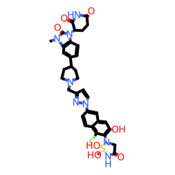 Cn1c(=O)n(C2CCC(=O)NC2=O)c2ccc(C3CCN(Cc4ccn(-c5ccc6c(F)c(N7CC(=O)NS7(O)O)c(O)cc6c5)n4)CC3)cc21